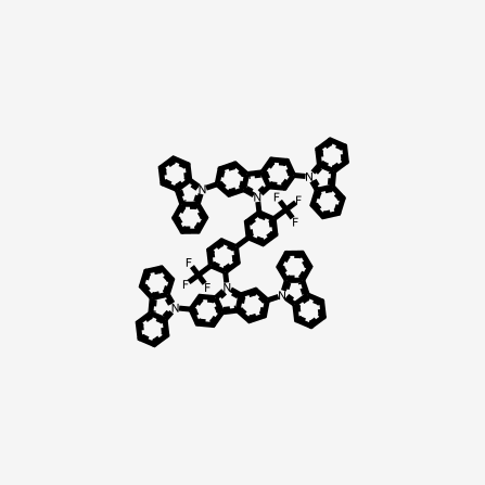 FC(F)(F)c1ccc(-c2ccc(C(F)(F)F)c(-n3c4cc(-n5c6ccccc6c6ccccc65)ccc4c4ccc(-n5c6ccccc6c6ccccc65)cc43)c2)cc1-n1c2cc(-n3c4ccccc4c4ccccc43)ccc2c2ccc(-n3c4ccccc4c4ccccc43)cc21